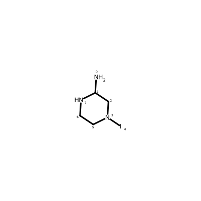 NC1CN(I)CCN1